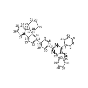 c1ccc(-c2nc(-c3ccc(-c4ccc5c(c4)C4(CCCCC4)c4ccccc4-5)cc3)nc3c2sc2ccccc23)cc1